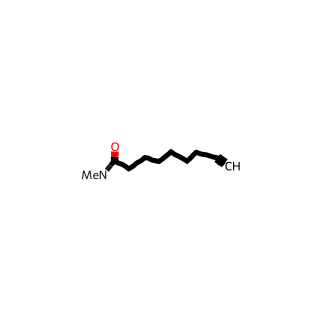 C#CCCCCCCC(=O)NC